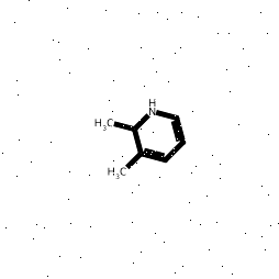 C[C]1NC=CC=C1C